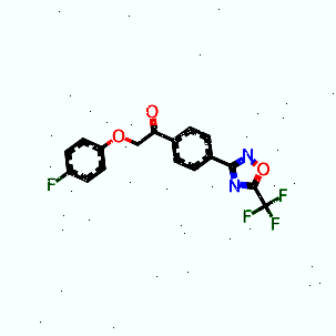 O=C(COc1ccc(F)cc1)c1ccc(-c2noc(C(F)(F)F)n2)cc1